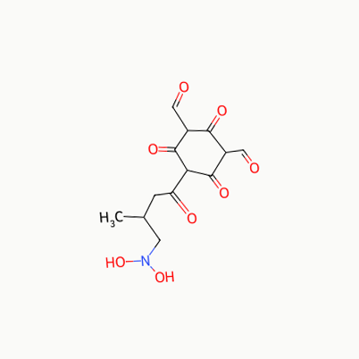 CC(CC(=O)C1C(=O)C(C=O)C(=O)C(C=O)C1=O)CN(O)O